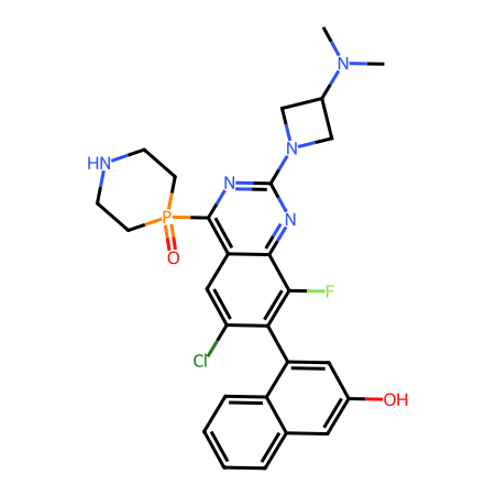 CN(C)C1CN(c2nc(P3(=O)CCNCC3)c3cc(Cl)c(-c4cc(O)cc5ccccc45)c(F)c3n2)C1